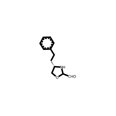 O=CC1N[C@@H](CCc2ccccc2)CO1